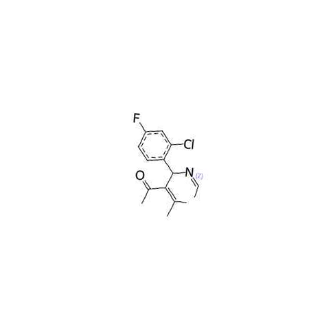 C/C=N\C(C(C(C)=O)=C(C)C)c1ccc(F)cc1Cl